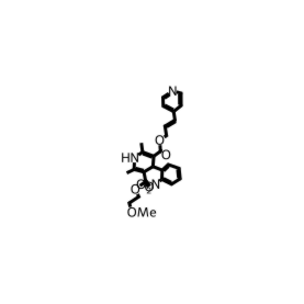 COCCOC(=O)C1=C(C)NC(C)=C(C(=O)OC/C=C/c2ccncc2)C1c1ccccc1[N+](=O)[O-]